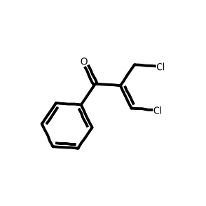 O=C(C(=CCl)CCl)c1ccccc1